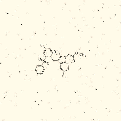 COC(=O)Cn1c(C)c(Cc2ccc(Cl)cc2S(=O)(=O)c2ccccc2)c2cc(F)ccc21